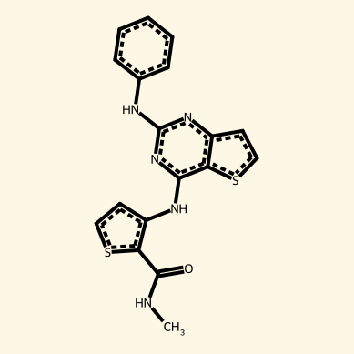 CNC(=O)c1sccc1Nc1nc(Nc2ccccc2)nc2ccsc12